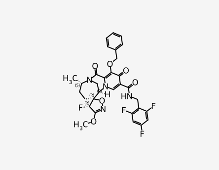 COC1=NO[C@@]2(CC[C@H](C)N3C[C@H]2n2cc(C(=O)NCc4c(F)cc(F)cc4F)c(=O)c(OCc4ccccc4)c2C3=O)[C@H]1F